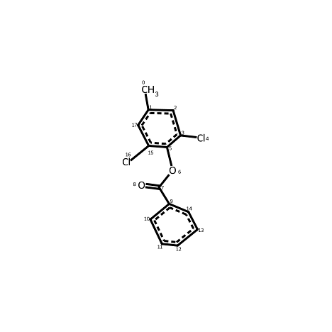 Cc1cc(Cl)c(OC(=O)c2ccccc2)c(Cl)c1